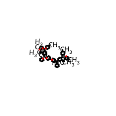 Cc1ccc(N2c3ccc(C)cc3C(C)(C)c3cc(N(c4ccccc4)c4ccc(-c5ccc(N(c6ccccc6)c6ccc7c(c6)C(C)(C)c6cc(C)ccc6N7c6ccc(C)cc6)cc5)cc4)ccc32)cc1